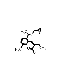 CCC(=Cc1cc(C)ccc1[C@@H](C)OCC1CO1)C(=O)O